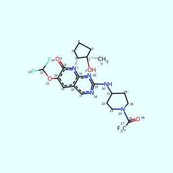 C[C@@]1(O)CCC[C@H]1n1c(=O)c(OC(F)F)cc2cnc(NC3CCN(C(=O)C(F)(F)F)CC3)nc21